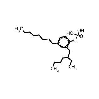 CCCCCCCCc1ccc(OP(=O)(O)O)c(CC(CC)CCCC)c1